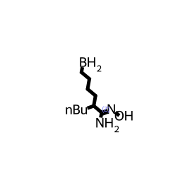 BCCCCC(CCCC)/C(N)=N/O